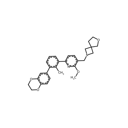 COc1nc(-c2cccc(-c3ccc4c(c3)OCCO4)c2C)ccc1CN1CC2(CCOC2)C1